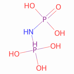 O=P(O)(O)N[PH](O)(O)O